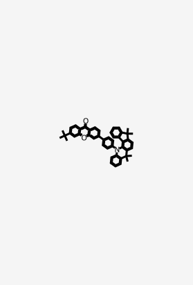 CC(C)(C)c1ccc2c(=O)c3ccc(-c4ccc(N5c6ccccc6C(C)(C)c6ccc7c(c65)-c5ccccc5C7(C)C)cc4)cc3oc2c1